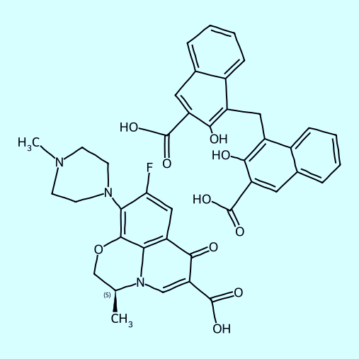 C[C@H]1COc2c(N3CCN(C)CC3)c(F)cc3c(=O)c(C(=O)O)cn1c23.O=C(O)c1cc2ccccc2c(Cc2c(O)c(C(=O)O)cc3ccccc23)c1O